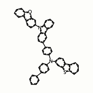 c1ccc(-c2ccc(N(c3ccc(-c4ccc5c(c4)c4ccccc4n5-c4ccc5c(c4)oc4ccccc45)cc3)c3ccc4c(c3)sc3ccccc34)cc2)cc1